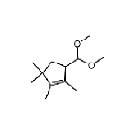 COC(OC)C1CC(C)(C)C(C)=C1C